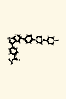 CN1CCC(N2CCN(c3ccc(-c4cnc5[nH]cc(-c6ccc(C(=O)N(C)C)cc6)c5c4)cc3)CC2)CC1